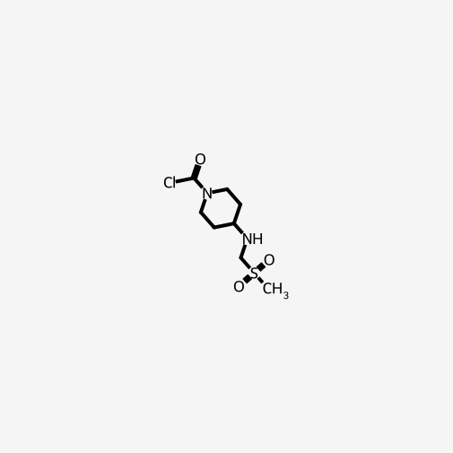 CS(=O)(=O)CNC1CCN(C(=O)Cl)CC1